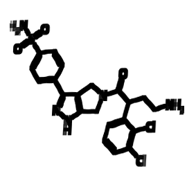 NCCC(C(=O)N1Cc2[nH]nc(-c3ccc(S(N)(=O)=O)cc3)c2C1)c1cccc(Cl)c1Cl